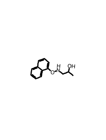 CC(O)CNOc1cccc2ccccc12